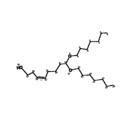 CCCCCCCOC(CCC/C=C\CCO)OCCCCCCC